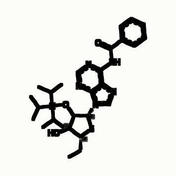 CC[C@H]1S[C@@H](n2cnc3c(NC(=O)c4ccccc4)ncnc32)C(O[Si](C(C)C)(C(C)C)C(C)C)[C@@H]1O